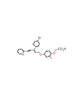 Cc1cc(OCC=C(C#Cc2ccccn2)c2ccc(Br)cc2)ccc1OCC(=O)O